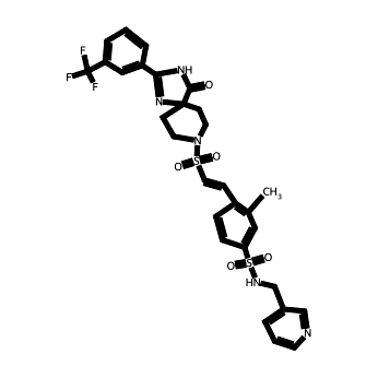 Cc1cc(S(=O)(=O)NCc2cccnc2)ccc1C=CS(=O)(=O)N1CCC2(CC1)N=C(c1cccc(C(F)(F)F)c1)NC2=O